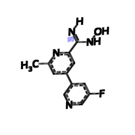 [H]/N=C(\NO)c1cc(-c2cncc(F)c2)cc(C)n1